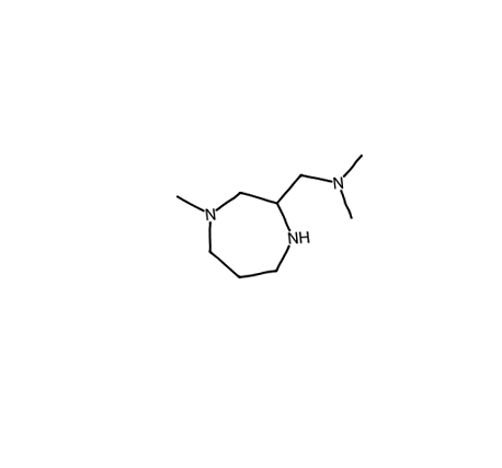 CN(C)CC1CN(C)CCCN1